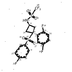 O=S(=O)(N[C@H]1C[C@@](c2cc(F)ccc2F)(S(=O)(=O)c2ccc(F)cc2)C1)C(F)(F)F